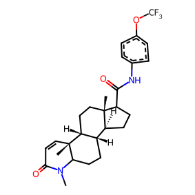 CN1C(=O)C=C[C@@]2(C)C1CC[C@@H]1[C@H]2CC[C@]2(C)C(C(=O)Nc3ccc(OC(F)(F)F)cc3)CC[C@@H]12